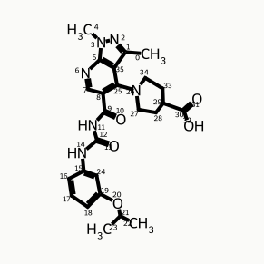 Cc1nn(C)c2ncc(C(=O)NC(=O)Nc3cccc(OC(C)C)c3)c(N3CCC(C(=O)O)CC3)c12